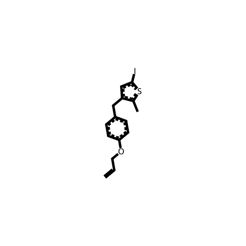 C=CCOc1ccc(Cc2cc(I)sc2C)cc1